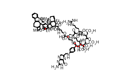 CC[C@](C)(O)C[C@@H]1CC2=C1[C@](C(=O)OC)(c1cc3c(cc1OC)N(C)[C@H]1[C@@](O)(C(=O)NCCOC(=O)OCCSSC[C@H](NC(=O)[C@H](CC(=O)O)NC(=O)[C@H](CC(=O)O)NC(=O)[C@H](CCCNC(=N)N)NC(=O)[C@H](CC(=O)O)NC(=O)CC[C@H](NC(=O)c4ccc(NCc5cnc6nc(N)[nH]c(=O)c6n5)cc4)C(=O)O)C(=O)O)[C@H](O)[C@]4(CC)C=CCN5CC[C@]31[C@@H]54)c1[nH]c3ccccc3c1CC2